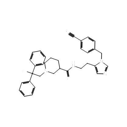 N#Cc1ccc(Cn2cncc2CCNC(=O)C2CCCN(CC(O)(c3ccccc3)c3ccccc3)C2)cc1